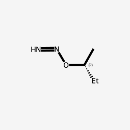 CC[C@@H](C)ON=N